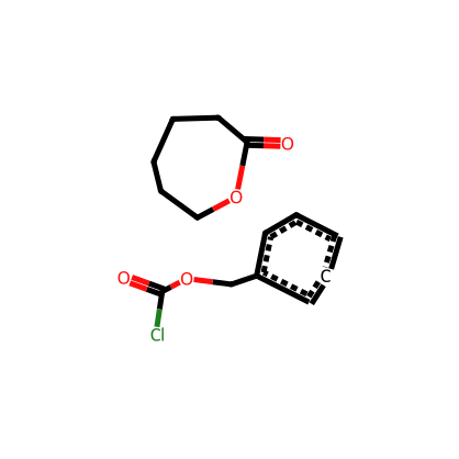 O=C(Cl)OCc1ccccc1.O=C1CCCCCO1